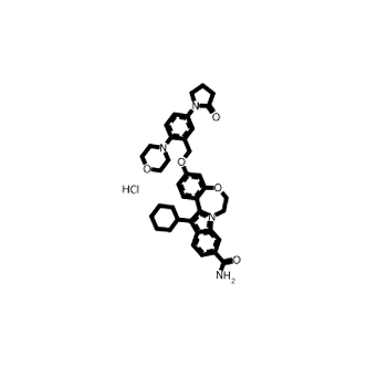 Cl.NC(=O)c1ccc2c(C3CCCCC3)c3n(c2c1)CCOc1cc(OCc2cc(N4CCCC4=O)ccc2N2CCOCC2)ccc1-3